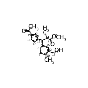 COC(=O)C(C)C(c1ccc(C)c(CO)c1)c1ccc(C(C)=O)s1